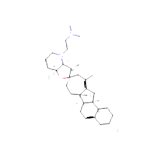 CC1=C2C[C@H]3[C@@H](CC=C4C[C@@H](O)CC[C@@]43C)[C@@H]2CC[C@@]2(C1)O[C@@H]1C[C@H](C)CN(CCN(C)C)[C@H]1[C@H]2C